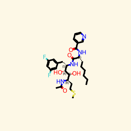 CCCCCC[C@@H](NC(=O)c1cccnc1)C(=O)N[C@@H](Cc1cc(F)cc(F)c1)[C@@H](O)[C@H](O)[C@@H](CCSC)NC(C)=O